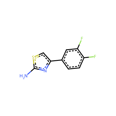 Nc1nc(-c2ccc(F)c(F)c2)cs1